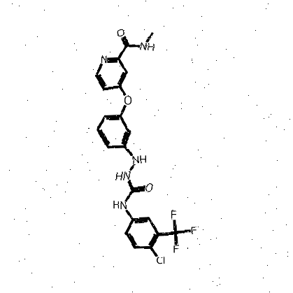 CNC(=O)c1cc(Oc2cccc(NNC(=O)Nc3ccc(Cl)c(C(F)(F)F)c3)c2)ccn1